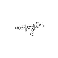 Nc1ccc(NC(=O)N(Cc2ccc(C(=O)NCC(F)C(=O)O)cc2)c2ccc(C3CCCCC3)cc2)cc1C(F)(F)F